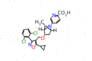 C[C@@H]1[C@@H]2C[C@@H](C[C@H]2OCc2c(-c3c(Cl)cccc3Cl)noc2C2CC2)N1c1ccc(C(=O)O)nc1